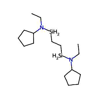 CCN([SiH2]CC[SiH2]N(CC)C1CCCC1)C1CCCC1